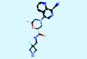 C[C@@H]1CN(c2cnc(C#N)c3ncccc23)C[C@H](C(=O)NCC2(F)CNC2)O1